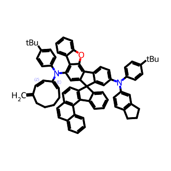 C=C1/C=C\C(N(c2ccc(C(C)(C)C)cc2)c2cc3c(c4oc5ccccc5c24)-c2ccc(N(c4ccc(C(C)(C)C)cc4)c4ccc5c(c4)CCC5)cc2C32c3ccccc3-c3c2ccc2ccc4ccccc4c32)=C/CCCC1